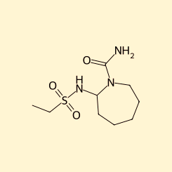 CCS(=O)(=O)NC1CCCCCN1C(N)=O